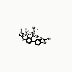 NN/N=C(\N)c1c(-c2ccc3[nH]c(N)nc3c2)ccc(SC2CNC2)c1S(N)(=O)=O